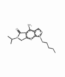 CCCCCn1ncc2c(N)c3c(nc21)CN(C(C)C)C3=O